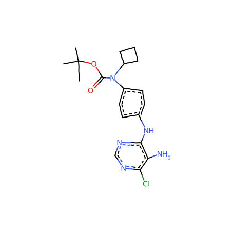 CC(C)(C)OC(=O)N(c1ccc(Nc2ncnc(Cl)c2N)cc1)C1CCC1